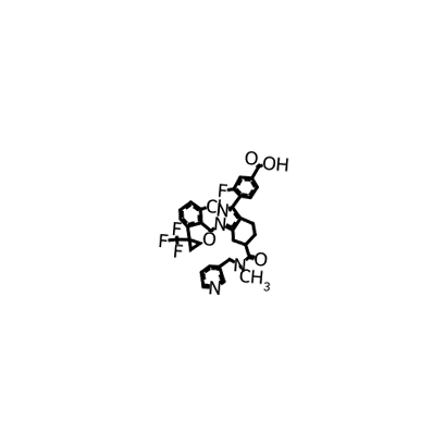 CN(Cc1cccnc1)C(=O)C1CCc2c(-c3ccc(C(=O)O)cc3F)nn(C(=O)c3c(Cl)cccc3C3(C(F)(F)F)CC3)c2C1